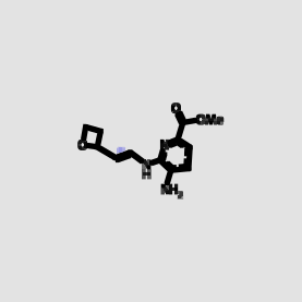 COC(=O)c1ccc(N)c(N/C=C/C2CCO2)n1